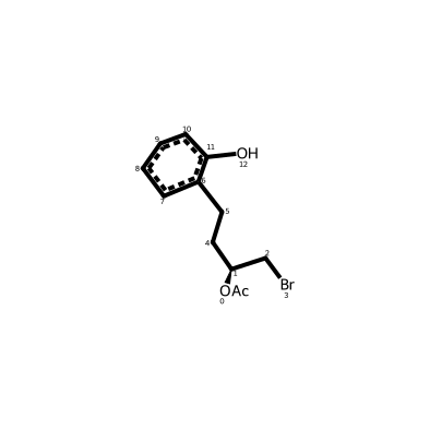 CC(=O)O[C@H](CBr)CCc1ccccc1O